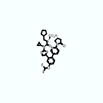 O=C(O)C[C@@H](CC1CCCC1)C(=O)N(c1nc(-c2cc(OC(F)F)ccc2-c2ccc(N3CCCC3=O)nc2)cs1)C1CC1